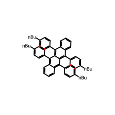 CCCCc1ccc(-c2c3ccccc3c(-c3ccc(CCCC)cc3)c3c(-c4ccc(CCCC)cc4)c4ccccc4c(-c4ccc(CCCC)cc4)c23)cc1